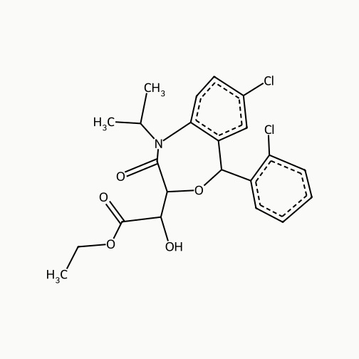 CCOC(=O)C(O)C1OC(c2ccccc2Cl)c2cc(Cl)ccc2N(C(C)C)C1=O